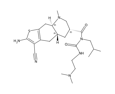 CC(C)CN(C(=O)NCCN(C)C)C(=O)[C@@H]1C[C@@H]2Cc3c(sc(N)c3C#N)C[C@H]2N(C)C1